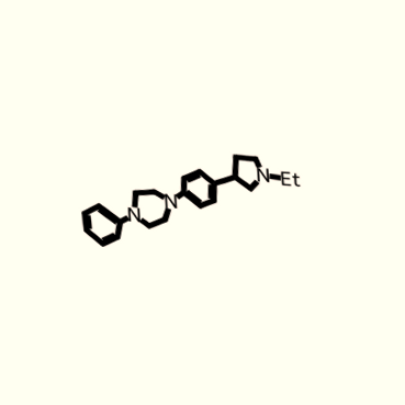 CCN1CCC(c2ccc(N3CCN(c4ccccc4)CC3)cc2)C1